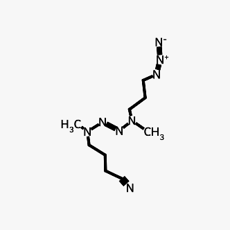 CN(CCCC#N)N=NN(C)CCCN=[N+]=[N-]